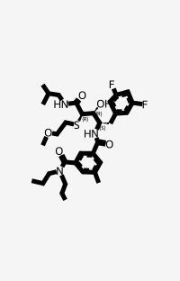 CCCN(CCC)C(=O)c1cc(C)cc(C(=O)N[C@@H](Cc2cc(F)cc(F)c2)[C@@H](O)[C@@H](SCCOC)C(=O)NCC(C)C)c1